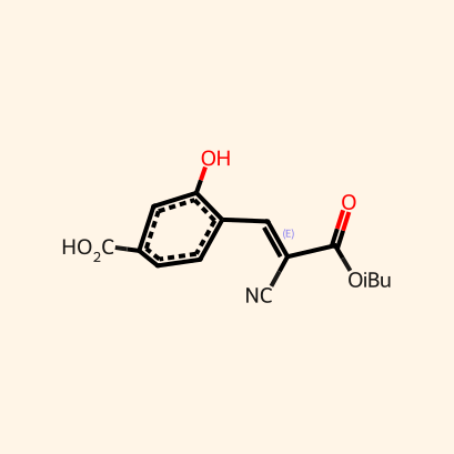 CC(C)COC(=O)/C(C#N)=C/c1ccc(C(=O)O)cc1O